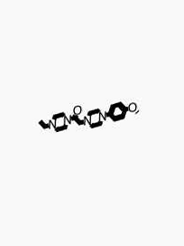 CCN1CCN(C(=O)CN2CCN(c3ccc(OC)cc3)CC2)CC1